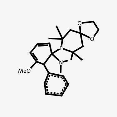 COC1=CC=CC(N(C)C)(P2C(C)(C)CC3(CC2(C)C)OCCO3)C1c1ccccc1